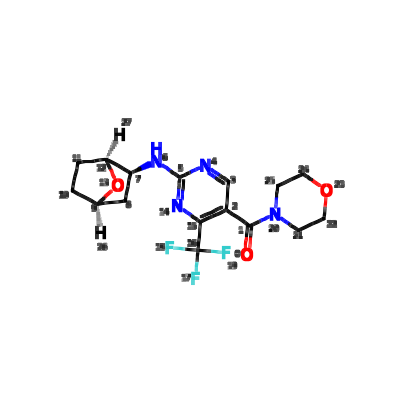 O=C(c1cnc(N[C@H]2C[C@H]3CC[C@@H]2O3)nc1C(F)(F)F)N1CCOCC1